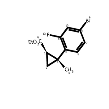 CCOC(=O)[C@@H]1C[C@@]1(C)c1ccc(Br)cc1F